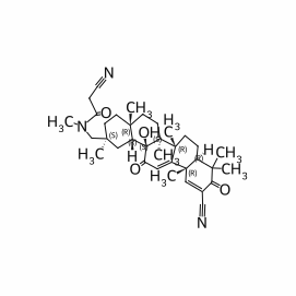 CN(C[C@@]1(C)CC[C@]2(C)CC[C@@]3(C)[C@]4(C)CC[C@H]5C(C)(C)C(=O)C(C#N)=C[C@]5(C)C4=CC(=O)[C@]3(O)[C@@H]2C1)C(=O)CC#N